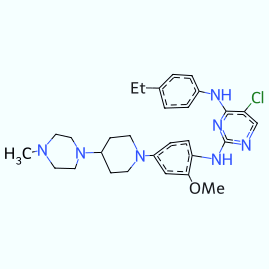 CCc1ccc(Nc2nc(Nc3ccc(N4CCC(N5CCN(C)CC5)CC4)cc3OC)ncc2Cl)cc1